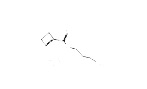 CCCCOC(=O)C1=CCC1.O